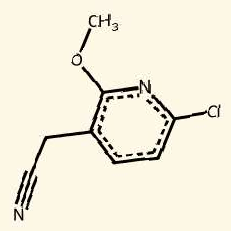 COc1nc(Cl)ccc1CC#N